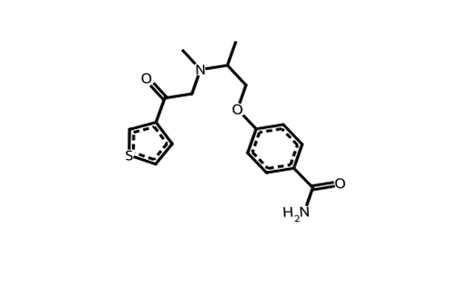 CC(COc1ccc(C(N)=O)cc1)N(C)CC(=O)c1ccsc1